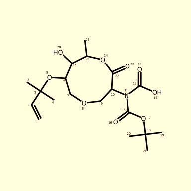 C=CC(C)(C)OC1COCC(N(C(=O)O)C(=O)OC(C)(C)C)C(=O)OC(C)C1O